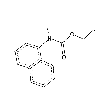 [CH2]COC(=O)N(C)c1cccc2ccccc12